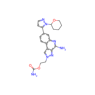 NC(=O)OCCn1cc2c(n1)c(N)nc1cc(-c3ccnn3C3CCCCO3)ccc12